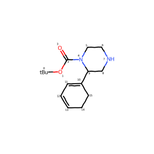 CC(C)(C)OC(=O)N1CCNCC1C1=CC=CCC1